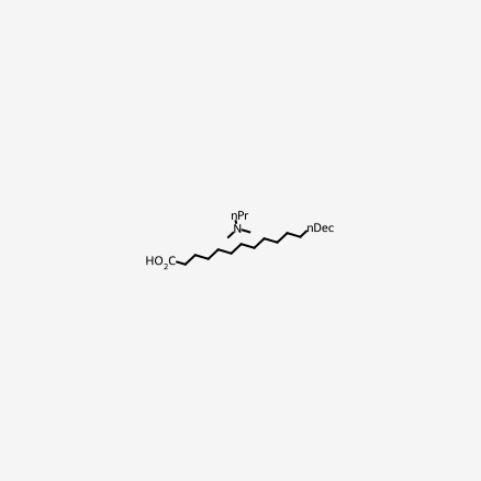 CCCCCCCCCCCCCCCCCCCCCC(=O)O.CCCN(C)C